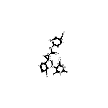 Cc1nc(C)c(OC[C@@]2(c3cccc(F)c3)C[C@H]2C(=O)Nc2ccc(F)cn2)c(=O)[nH]1